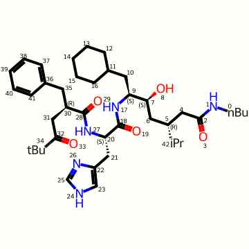 CCCCNC(=O)C[C@@H](C[C@H](O)[C@H](CC1CCCCC1)NC(=O)[C@H](Cc1c[nH]cn1)NC(=O)[C@@H](CC(=O)C(C)(C)C)Cc1ccccc1)C(C)C